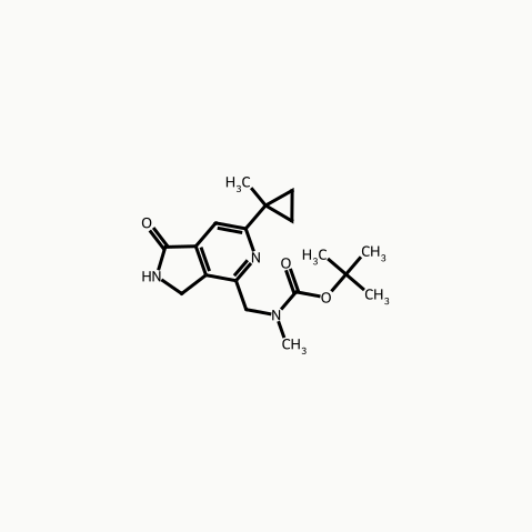 CN(Cc1nc(C2(C)CC2)cc2c1CNC2=O)C(=O)OC(C)(C)C